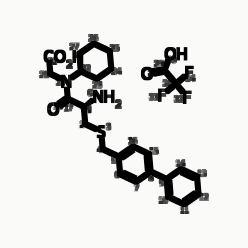 N[C@@H](CSCc1ccc(-c2ccccc2)cc1)C(=O)N(CC(=O)O)C1CCCCC1.O=C(O)C(F)(F)F